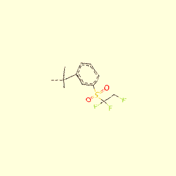 CC(C)(C)c1cccc(S(=O)(=O)C(F)(F)CF)c1